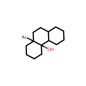 CC(=O)C12CCCCC1(O)C1CCCCC1CC2